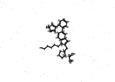 CCCCCCn1c(CN2CCC[C@H]2C(=O)O)nc2cc(-c3ccccc3-c3nn[nH]n3)ccc21